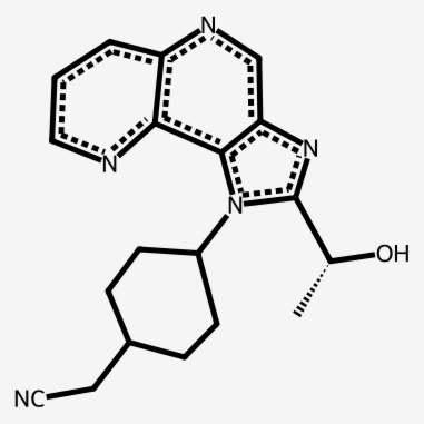 C[C@@H](O)c1nc2cnc3cccnc3c2n1C1CCC(CC#N)CC1